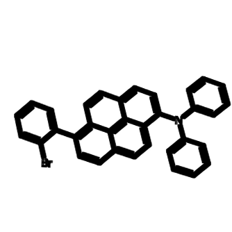 Brc1ccccc1-c1ccc2ccc3c(N(c4ccccc4)c4ccccc4)ccc4ccc1c2c43